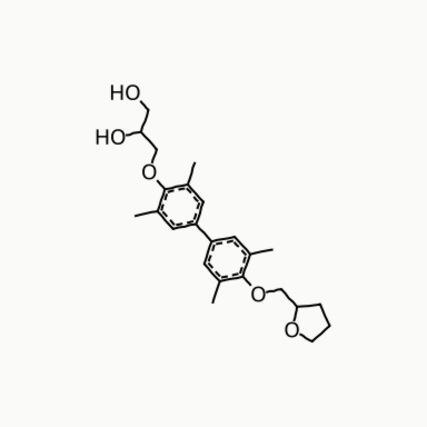 Cc1cc(-c2cc(C)c(OCC3CCCO3)c(C)c2)cc(C)c1OCC(O)CO